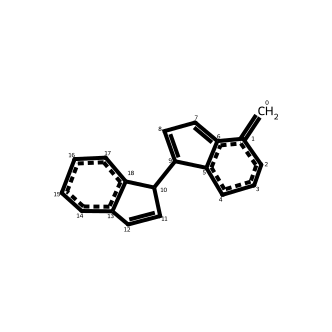 C=c1cccc2c1=CC=C2C1C=Cc2ccccc21